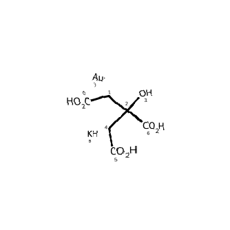 O=C(O)CC(O)(CC(=O)O)C(=O)O.[Au].[KH]